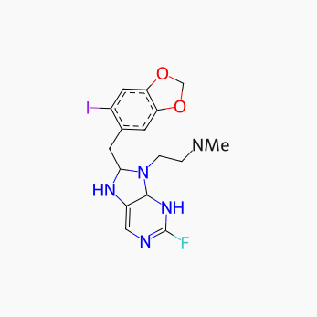 CNCCN1C(Cc2cc3c(cc2I)OCO3)NC2=CN=C(F)NC21